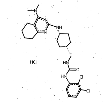 CN(C)c1nc(N[C@H]2CC[C@@H](CNC(=O)Nc3cccc(Cl)c3Cl)CC2)nc2c1CCCC2.Cl